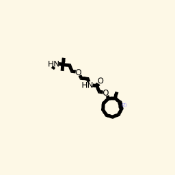 CNC(C)(C)CCOCCNC(=O)COC1CCCCC/C=C\C1C